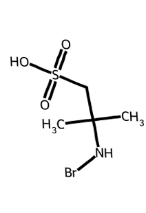 CC(C)(CS(=O)(=O)O)NBr